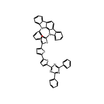 c1ccc(-c2nc(-c3ccccc3)nc(-c3ccc(-c4ccc(-c5ccc(-n6c7ccccc7c7ccc8c9ccccc9n(-c9ccccc9)c8c76)s5)s4)s3)n2)cc1